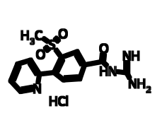 CS(=O)(=O)c1cc(C(=O)NC(=N)N)ccc1-c1ccccn1.Cl